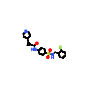 O=C(Nc1ccc(S(=O)(=O)NCc2ccccc2F)cc1)C1CC1c1ccncc1